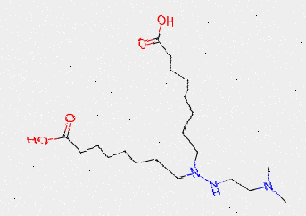 CN(C)CCNN(CCCCCCCC(=O)O)CCCCCCCC(=O)O